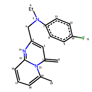 C=C1C=C(CN(CC)c2ccc(F)cc2)N=C2C=CC=C(C)N12